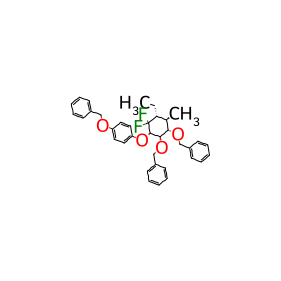 CC[C@@H]1[C@@H](C)[C@H](OCc2ccccc2)[C@@H](OCc2ccccc2)[C@@H](Oc2ccc(OCc3ccccc3)cc2)C1(F)F